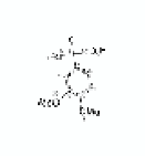 CCCCC(Cl)(C(=O)O)c1ccc(OC)c(OC)c1